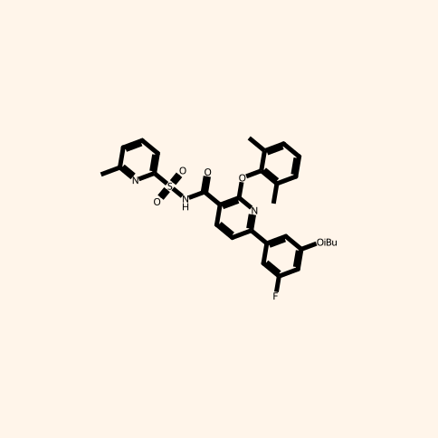 Cc1cccc(S(=O)(=O)NC(=O)c2ccc(-c3cc(F)cc(OCC(C)C)c3)nc2Oc2c(C)cccc2C)n1